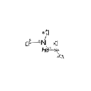 ClN(Cl)BN(Cl)Cl